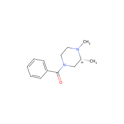 C[C@@H]1CN(C(=O)c2ccccc2)CCN1C